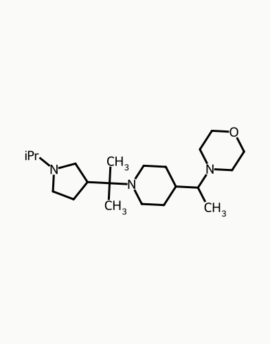 CC(C)N1CCC(C(C)(C)N2CCC(C(C)N3CCOCC3)CC2)C1